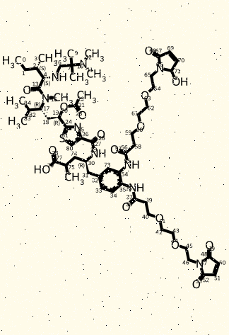 CC[C@H](C)[C@H](NCC(C)(C)N(C)C)C(=O)N(C)[C@H](C[C@@H](OC(C)=O)c1nc(C(=O)N[C@@H](Cc2ccc(NC(=O)CCOCCOCCN3C(=O)C=CC3=O)c(NC(=O)CCOCCOCCN3C(=O)C=CC3O)c2)CC(C)C(=O)O)cs1)C(C)C